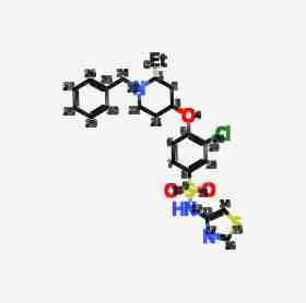 CC[C@@H]1C[C@@H](Oc2ccc(S(=O)(=O)Nc3cscn3)cc2Cl)CCN1Cc1ccccc1